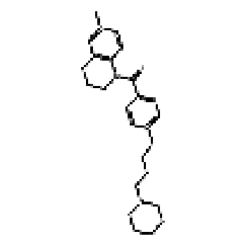 Cc1ccc2c(c1)CCCN2C(=O)c1ccc(OCCCN2CCCCC2)cc1